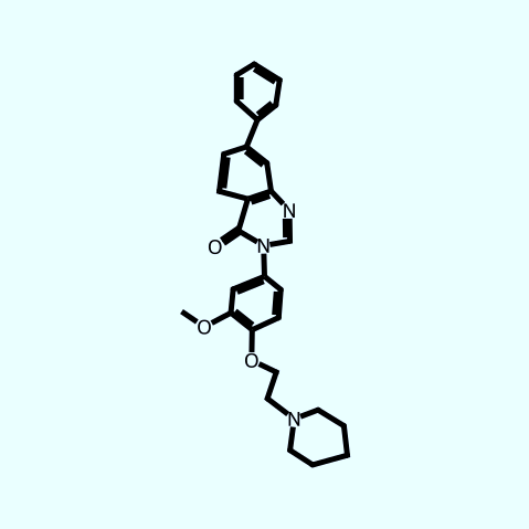 COc1cc(-n2cnc3cc(-c4ccccc4)ccc3c2=O)ccc1OCCN1CCCCC1